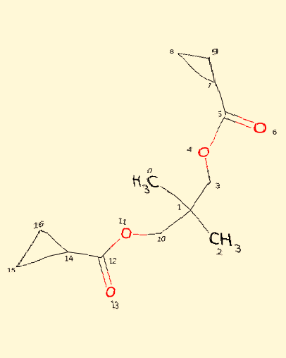 CC(C)(COC(=O)C1CC1)COC(=O)C1CC1